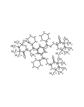 CC(N1CC(C)(C)N(C)C(C)(C)C1=O)N(c1nc(N(CCN2CC(C)(C)N(C)C(C)(C)C2=O)C2CCCCC2)nc(N(CCN2CC(C)(C)N(C)C(C)(C)C2=O)C2CCCCC2)n1)C1CCCCC1